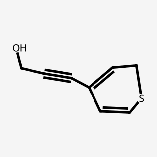 OCC#CC1=CCSC=C1